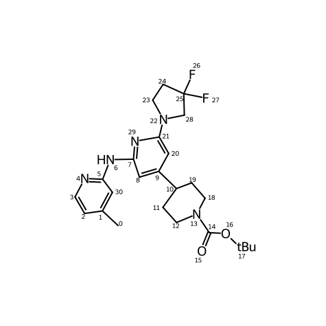 Cc1ccnc(Nc2cc(C3CCN(C(=O)OC(C)(C)C)CC3)cc(N3CCC(F)(F)C3)n2)c1